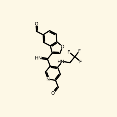 N=C(c1cnc(C=O)cc1NCC(F)(F)F)c1coc2ccc(C=O)cc12